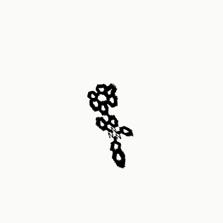 c1ccc(-c2nc(-c3ccc4ccccc4c3)nc(-c3ccccc3-c3ccccc3-c3cc4ccc5cccc6c7cccc8ccc9cccc(c(c3)c4c56)c9c87)n2)cc1